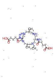 CCN1CC(C)CN2C[C@]2(NC(=O)CCCC(=O)O)CNCC(C)CNCC(NC(=O)CCCC(=O)O)C1